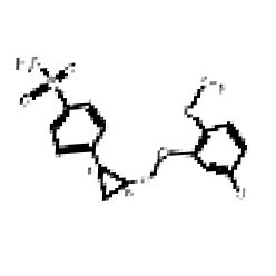 COc1ccc(Cl)cc1OC[C@@H]1C[C@H]1c1ccc(S(N)(=O)=O)cc1